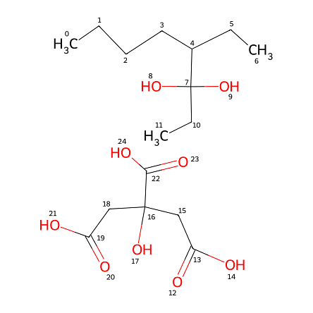 CCCCC(CC)C(O)(O)CC.O=C(O)CC(O)(CC(=O)O)C(=O)O